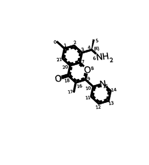 Cc1cc([C@@H](C)N)c2oc(-c3ccccn3)c(C)c(=O)c2c1